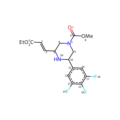 CCOC(=O)C=CC1CN(C(=O)OC)CC(c2cc(F)c(F)c(F)c2)N1